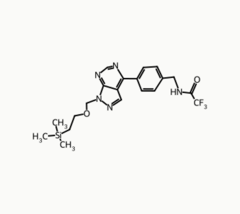 C[Si](C)(C)CCOCn1ncc2c(-c3ccc(CNC(=O)C(F)(F)F)cc3)ncnc21